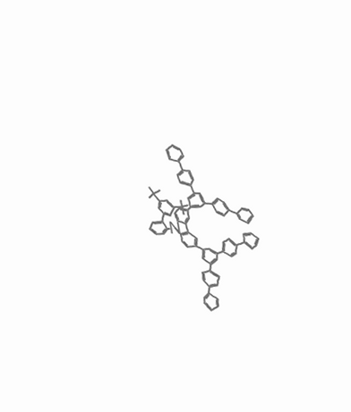 CC(C)(C)c1cc(-c2ccccc2-n2c3ccc(-c4cc(-c5ccc(-c6ccccc6)cc5)cc(-c5ccc(-c6ccccc6)cc5)c4)cc3c3cc(-c4cc(-c5ccc(-c6ccccc6)cc5)cc(-c5ccc(-c6ccccc6)cc5)c4)ccc32)cc(C(C)(C)C)c1